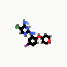 Nc1nc(Nc2cc(I)ccc2OC2CCOCC2)ncc1Cl